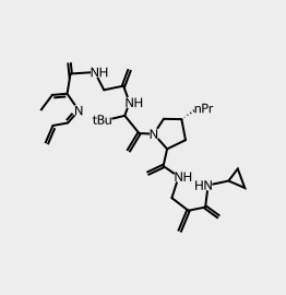 C=C/C=N\C(=C/C)C(=C)NCC(=C)NC(C(=C)N1C[C@H](CCC)CC1C(=C)NCC(=C)C(=C)NC1CC1)C(C)(C)C